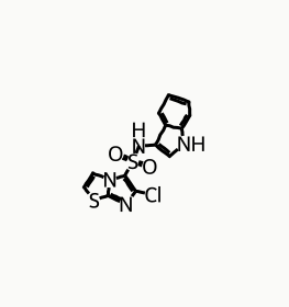 O=S(=O)(Nc1c[nH]c2ccccc12)c1c(Cl)nc2sccn12